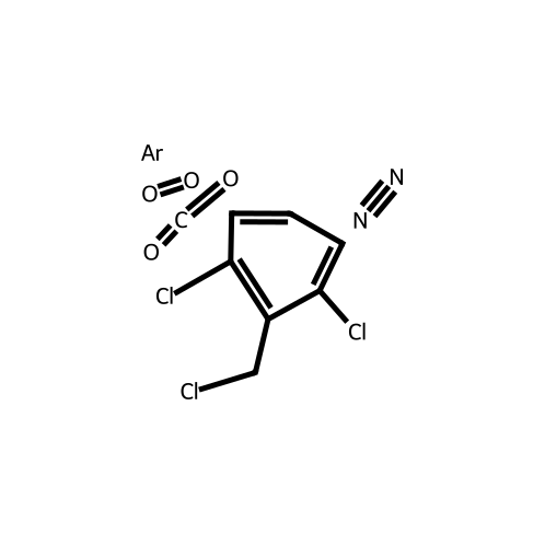 ClCc1c(Cl)cccc1Cl.N#N.O=C=O.O=O.[Ar]